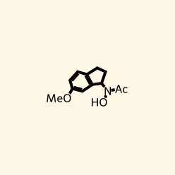 COc1ccc2c(c1)C(N(O)C(C)=O)CC2